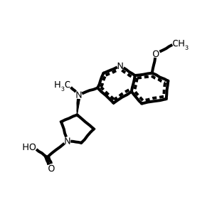 COc1cccc2cc(N(C)[C@H]3CCN(C(=O)O)C3)cnc12